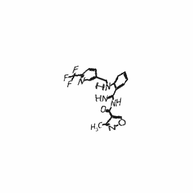 Cc1nocc1C(=O)NC(=N)c1ccccc1NCc1ccc(C(F)(F)F)nc1